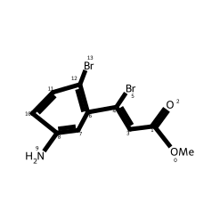 COC(=O)C=C(Br)c1cc(N)ccc1Br